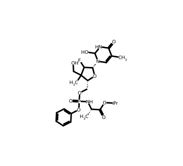 CC1=CN([C@@H]2O[C@H](COP(=O)(N[C@@H](C)C(=O)OC(C)C)Oc3ccccc3)C(C)(CO)C2F)C(O)NC1=O